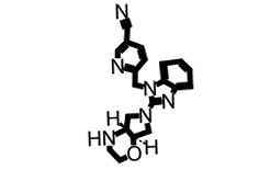 N#Cc1ccc(Cn2c(N3C[C@H]4NCCO[C@@H]4C3)nc3ccccc32)nc1